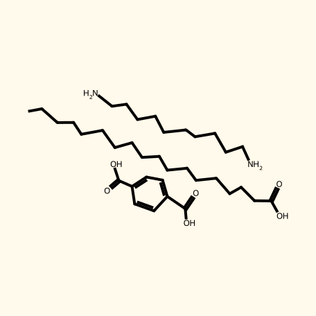 CCCCCCCCCCCCCCCCCC(=O)O.NCCCCCCCCCCN.O=C(O)c1ccc(C(=O)O)cc1